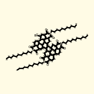 CCCCCCCCCCCn1c(=O)c2ccc3c4ccc5c(=O)n(CCCCCCCCCCC)c(=O)c6cc7c8c9cc%10c(=O)n(CCCCCCCCCCC)c(=O)c%11cc(Br)c%12c%13ccc%14c(=O)n(CCCCCCCCCCC)c(=O)c%15cc(c8c8cc(c1=O)c2c3c8c7c4c56)c(c%13c%14%15)c9c%12c%11%10